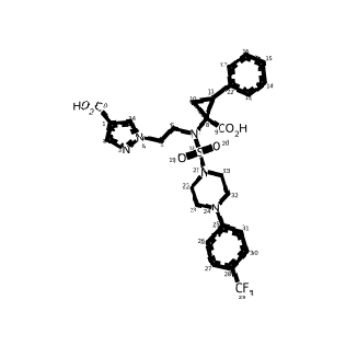 O=C(O)c1cnn(CCN(C2(C(=O)O)CC2c2ccccc2)S(=O)(=O)N2CCN(c3ccc(C(F)(F)F)cc3)CC2)c1